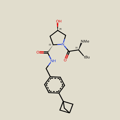 CN[C@H](C(=O)N1C[C@H](O)C[C@H]1C(=O)NCc1ccc(C23CC(C2)C3)cc1)C(C)(C)C